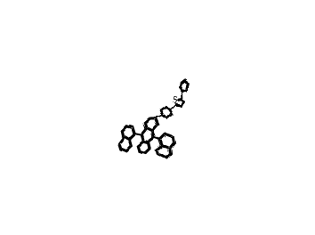 c1ccc(-c2ccc(-c3ccc(-c4ccc5c(-c6cccc7ccccc67)c6ccccc6c(-c6cccc7ccccc67)c5c4)cc3)s2)cc1